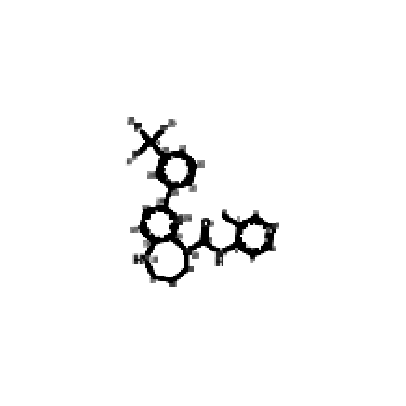 Cc1cnccc1NC(=O)N1CCCNc2ccc(-c3cccc(C(F)(F)F)c3)nc21